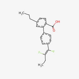 CCCc1ccc(C(=O)O)c(-c2ccc(C(F)=C(F)CC)cc2)c1